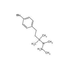 C[SiH2]N(C)[Si](C)(C)CCc1ccc(C(C)(C)C)cc1